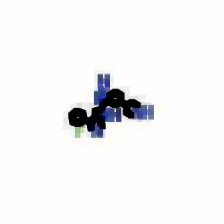 Fc1ccccc1-c1cncc2[nH]c(-c3n[nH]c4ccc(C5=CCNCC5)cc34)cc12